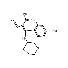 N=C/C(C(=O)O)=C(\NC1CCCOC1)c1ccc(Br)cc1Cl